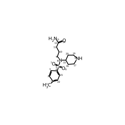 Cc1ccc(S(=O)(=O)N(CCCC(N)=O)C2CCNCC2)cc1